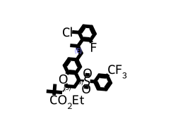 CCOC(=O)C(C)(C)C[C@H]1C[C@H](S(=O)(=O)c2cccc(C(F)(F)F)c2)c2cc(/C=C(\C)c3c(F)cccc3Cl)ccc2O1